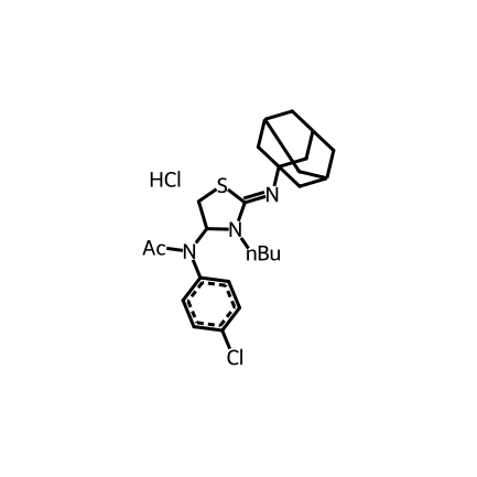 CCCCN1C(=NC23CC4CC(CC(C4)C2)C3)SCC1N(C(C)=O)c1ccc(Cl)cc1.Cl